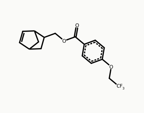 O=C(OCC1CC2C=CC1C2)c1ccc(OCC(F)(F)F)cc1